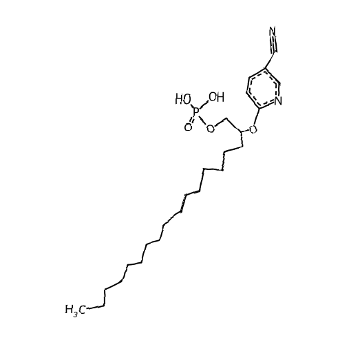 CCCCCCCCCCCCCCCCC(COP(=O)(O)O)Oc1ccc(C#N)cn1